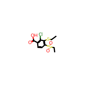 CCSc1c(S(=O)(=O)CC)ccc(C(=O)O)c1Cl